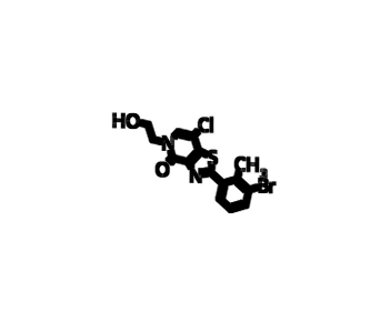 Cc1c(Br)cccc1-c1nc2c(=O)n(CCO)cc(Cl)c2s1